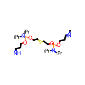 C/N=C/CCOP(OCCSCCOP(OCCC=N)N(C(C)C)C(C)C)N(C(C)C)C(C)C